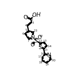 O=C(O)C=Cc1ccn(S(=O)(=O)c2ccc(-c3ccccn3)s2)c1